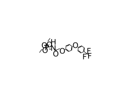 CCOP(=O)(CNC(=O)COc1ccc(Oc2ccc(C(F)(F)F)cc2)cc1)OCC